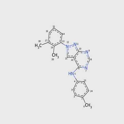 Cc1ccc(Nc2ncnc3nn(-c4cccc(C)c4C)cc23)cc1